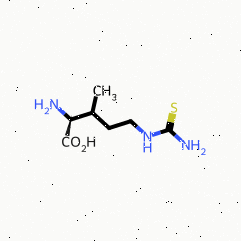 CC(CCNC(N)=S)[C@H](N)C(=O)O